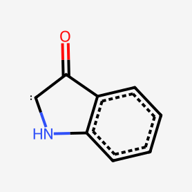 O=C1[C]Nc2ccccc21